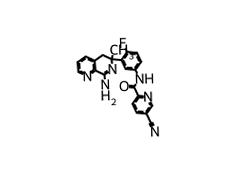 CC1(c2cc(NC(=O)c3ccc(C#N)cn3)ccc2F)Cc2cccnc2C(N)=N1